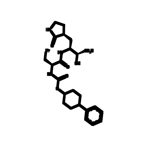 CC(C)C[C@H](NC(=O)OC1CCC(c2ccccc2)CC1)C(=O)N[C@@H](C[C@@H]1CCNC1=O)[C@@H](O)S(=O)(=O)O